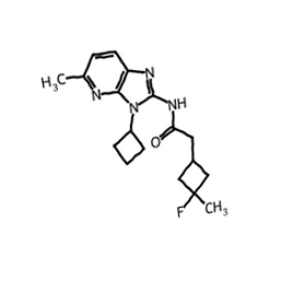 Cc1ccc2nc(NC(=O)CC3CC(C)(F)C3)n(C3CCC3)c2n1